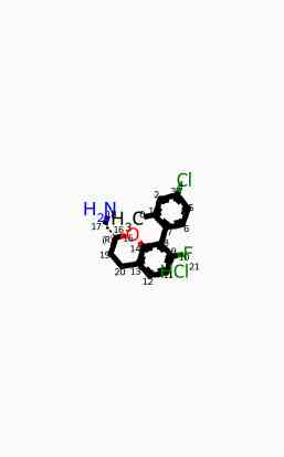 Cc1cc(Cl)ccc1-c1c(F)ccc2c1O[C@@H](CN)CC2.Cl